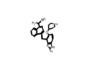 CC(C)c1nc2c(Cc3ccc(C(=N)N)c4ccccc34)c(OC3CCNCC3)ccc2[nH]1